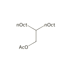 CCCCCCCCC(CCCCCCCC)COC(C)=O